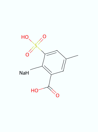 Cc1cc(C(=O)O)c(C)c(S(=O)(=O)O)c1.[NaH]